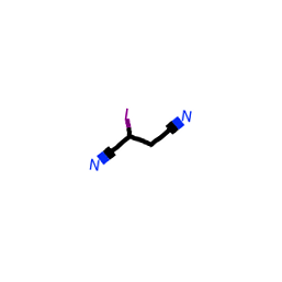 N#CCC(I)C#N